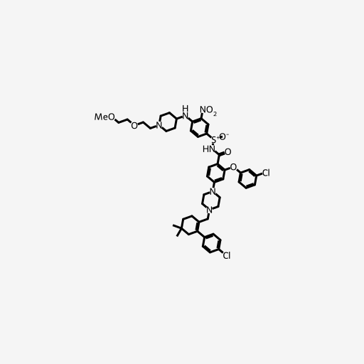 COCCOCCN1CCC(Nc2ccc([S+]([O-])NC(=O)c3ccc(N4CCN(CC5=C(c6ccc(Cl)cc6)CC(C)(C)CC5)CC4)cc3Oc3cccc(Cl)c3)cc2[N+](=O)[O-])CC1